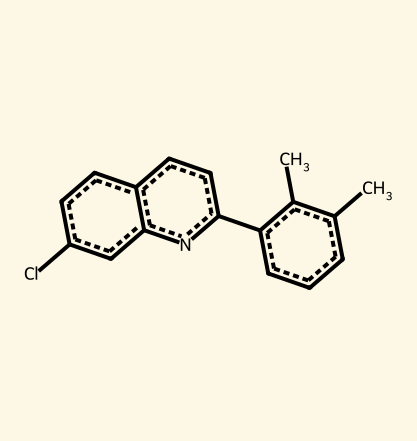 Cc1cccc(-c2ccc3ccc(Cl)cc3n2)c1C